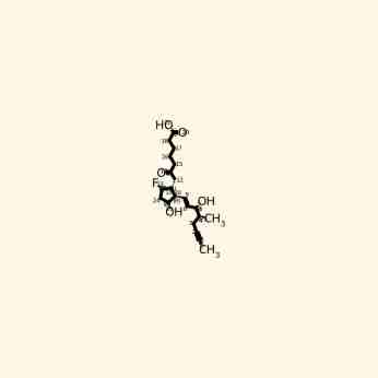 CC#CC[C@H](C)[C@H](O)C=C[C@@H]1[C@@H](CC(=O)CCCCC(=O)O)[C@H](F)C[C@H]1O